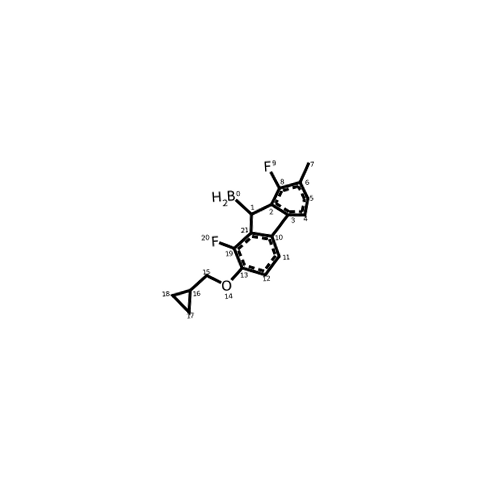 BC1c2c(ccc(C)c2F)-c2ccc(OCC3CC3)c(F)c21